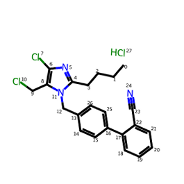 CCCCc1nc(Cl)c(CCl)n1Cc1ccc(-c2ccccc2C#N)cc1.Cl